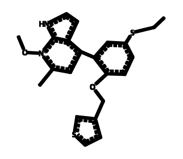 CCSc1ccc(OCc2ccsc2)c(-c2cc(C)[n+](OC)c3[nH]ccc23)c1